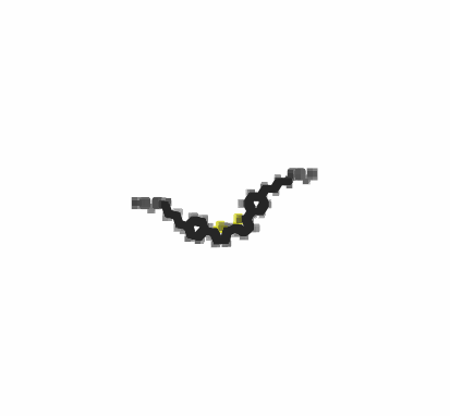 O=C(O)CCCCc1ccc(-c2ccc(-c3ccc(-c4ccc(CCCCC(=O)O)cc4)s3)s2)cc1